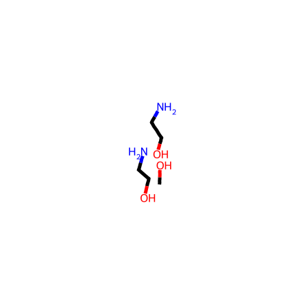 CO.NCCO.NCCO